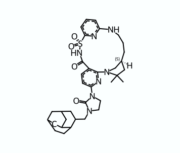 CC1(C)C[C@@H]2CCCNc3cccc(n3)S(=O)(=O)NC(=O)c3ccc(N4CCN(CC5CC6CC7CCC5C(C7)C6)C4=O)nc3N1C2